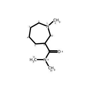 CN1CCCCC(C(=O)N(C)C)C1